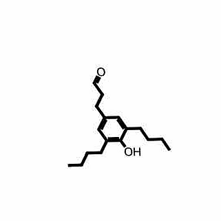 CCCCc1cc(CCC=O)cc(CCCC)c1O